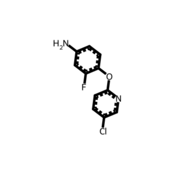 Nc1ccc(Oc2ccc(Cl)cn2)c(F)c1